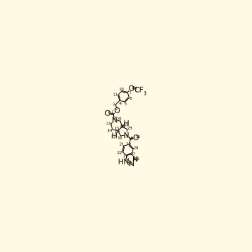 O=C(OCc1ccc(OC(F)(F)F)cc1)N1CC[C@@H]2CN(C(=O)c3ccc4[nH]nnc4c3)C[C@H]2C1